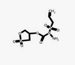 C=CCS(=O)(=O)N(N)C(=O)OC1COS(=O)(=O)C1